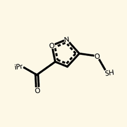 CC(C)C(=O)c1cc(OS)no1